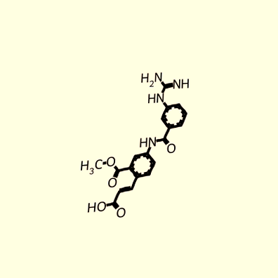 COC(=O)c1cc(NC(=O)c2cccc(NC(=N)N)c2)ccc1C=CC(=O)O